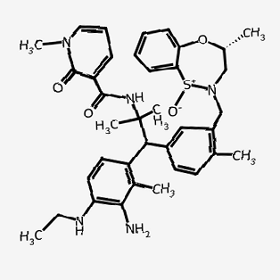 CCNc1ccc(C(c2ccc(C)c(CN3C[C@@H](C)Oc4ccccc4[S+]3[O-])c2)C(C)(C)NC(=O)c2cccn(C)c2=O)c(C)c1N